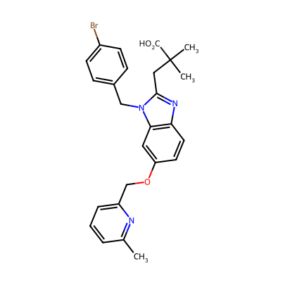 Cc1cccc(COc2ccc3nc(CC(C)(C)C(=O)O)n(Cc4ccc(Br)cc4)c3c2)n1